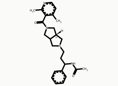 CC(=O)NC(CCN1CC2CN(C(=O)c3c(C)ccnc3C)C[C@@H]2C1)c1ccccc1